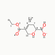 CCOC(=O)C1=CCC(C(=O)[O-])OC1.[Li+]